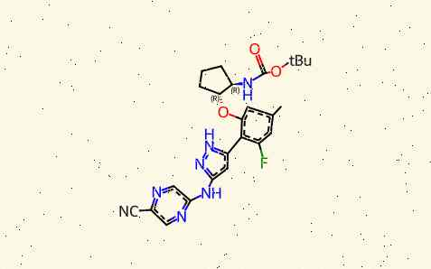 Cc1cc(F)c(-c2cc(Nc3cnc(C#N)cn3)n[nH]2)c(O[C@@H]2CCC[C@H]2NC(=O)OC(C)(C)C)c1